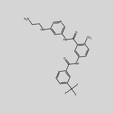 Cc1ccc(NC(=O)c2cccc(C(F)(F)F)c2)cc1C(=O)Nc1cncc(NCCN)c1